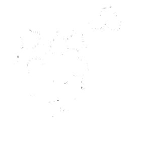 CO[C@H]1CCN([C@@H](C)/C=C/C(=O)N2CCN(c3nc(OC[C@@]45CCCN4C[C@H](F)C5)nc4c(F)c(-c5cccc6ccc(F)c(Cl)c56)ncc34)C[C@@H]2CC#N)C1